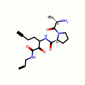 C#CCCC(NC(=O)[C@@H]1CCCN1C(=O)[C@@H](N)C(C)(C)C)C(=O)C(=O)NCC=C